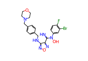 N=C(c1nonc1NCc1ccc(CN2CCOCC2)cc1)N(O)c1ccc(F)c(Br)c1